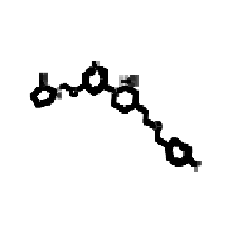 Cl.Fc1ccc(COCCC2CCN(c3cncc(OC[C@@H]4CCCN4)c3)CC2)cc1